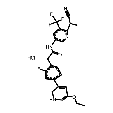 CCOC1=CNCC(c2ccc(CC(=O)Nc3cnc(C(C)C#N)c(C(F)(F)F)c3)c(F)c2)=C1.Cl